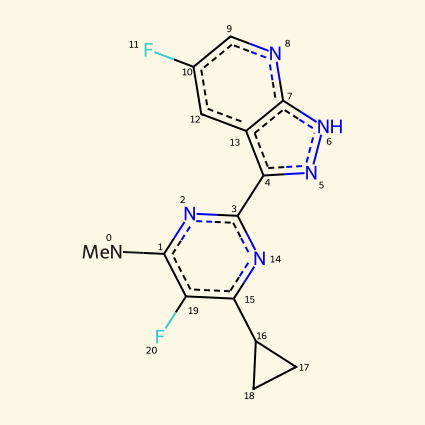 CNc1nc(-c2n[nH]c3ncc(F)cc23)nc(C2CC2)c1F